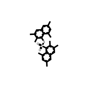 Cc1cc(C)c2c(SS(=O)(=O)c3c(C)c(C)cc4cc(C)cc(C)c34)c(C)c(C)cc2c1